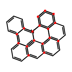 c1ccc(-c2ccccc2N(c2ccccc2-c2ccccc2)c2ccccc2-c2cccc3cccc(-c4ccccc4)c23)cc1